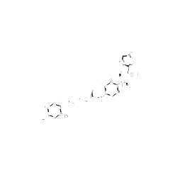 O=C(CCCOc1ccc(Cl)cc1F)Nc1ccc(S(=O)(=O)Nc2nccs2)cc1